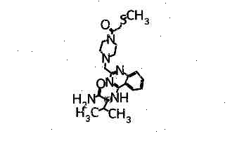 CSCC(=O)N1CCN(Cc2nc(N[C@H](C(N)=O)C(C)C)c3ccccc3n2)CC1